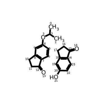 CC(C)Oc1ccc2c(c1)CCC2=O.O=C1CCc2cc(O)ccc21